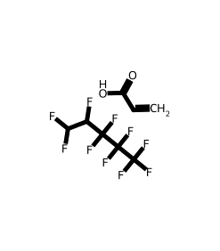 C=CC(=O)O.FC(F)C(F)C(F)(F)C(F)(F)C(F)(F)F